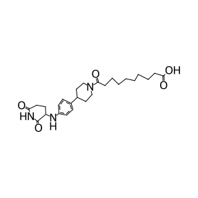 O=C(O)CCCCCCCCC(=O)N1CCC(c2ccc(NC3CCC(=O)NC3=O)cc2)CC1